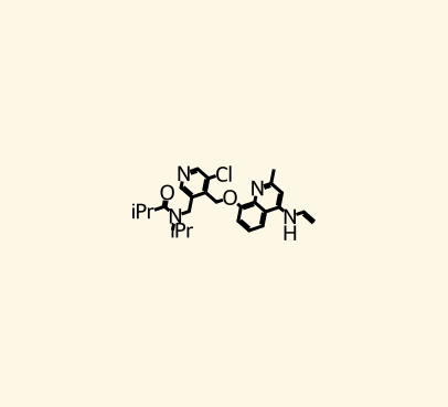 C=CNc1cc(C)nc2c(OCc3c(Cl)cncc3CN(C(=O)C(C)C)C(C)C)cccc12